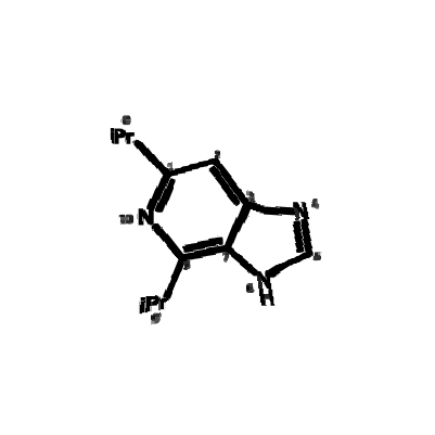 CC(C)c1cc2nc[nH]c2c(C(C)C)n1